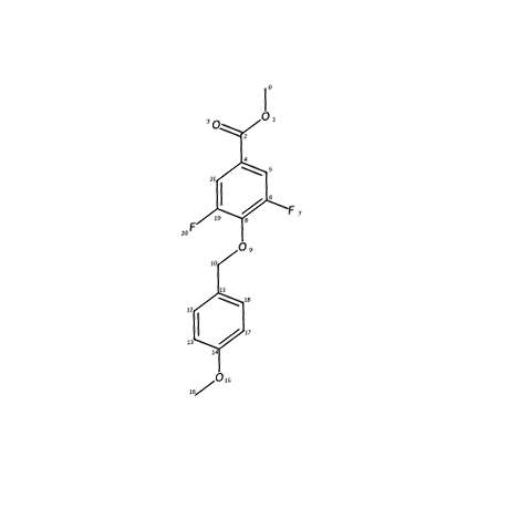 COC(=O)c1cc(F)c(OCc2ccc(OC)cc2)c(F)c1